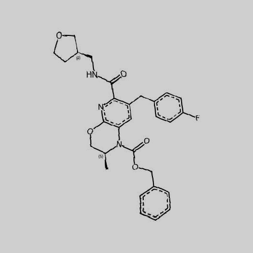 C[C@H]1COc2nc(C(=O)NC[C@H]3CCOC3)c(Cc3ccc(F)cc3)cc2N1C(=O)OCc1ccccc1